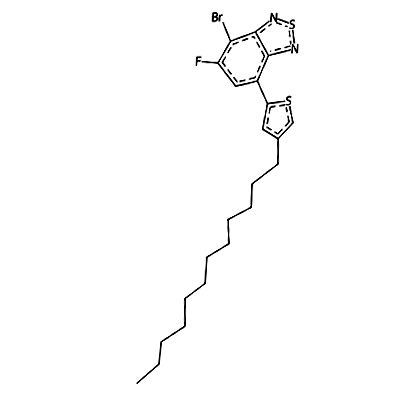 CCCCCCCCCCCCc1csc(-c2cc(F)c(Br)c3nsnc23)c1